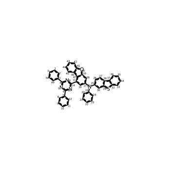 c1ccc(-c2nc(-c3ccccc3)nc(-c3cc(N(c4ccccc4)c4ccc5c(c4)sc4ccccc45)cc4oc5ccccc5c34)n2)cc1